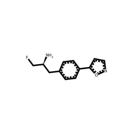 N[C@H](CF)Cc1ccc(-c2ccno2)cc1